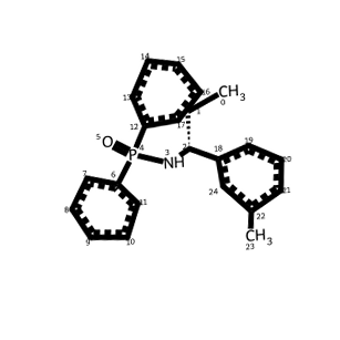 CC[C@@H](NP(=O)(c1ccccc1)c1ccccc1)c1cccc(C)c1